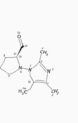 Cc1nc(C)n(N2CCC[C@H]2C=O)c1C